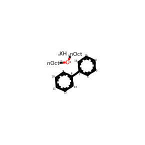 CCCCCCCCOCCCCCCCC.[KH].c1ccc(-c2ccccc2)cc1